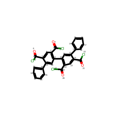 O=C(Cl)c1cc(C(=O)Cl)c(-c2cc(-c3ccccc3)c(C(=O)Cl)cc2C(=O)Cl)cc1-c1ccccc1